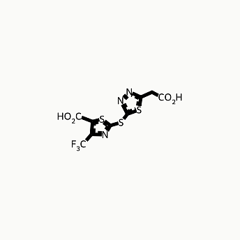 O=C(O)Cc1nnc(Sc2nc(C(F)(F)F)c(C(=O)O)s2)s1